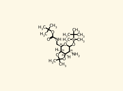 CC(C)(C)OC(=O)NC[C@H]1OC(O[Si](C)(C)C(C)(C)C)[C@H](N)[C@H]2OC(C)(C)O[C@H]21